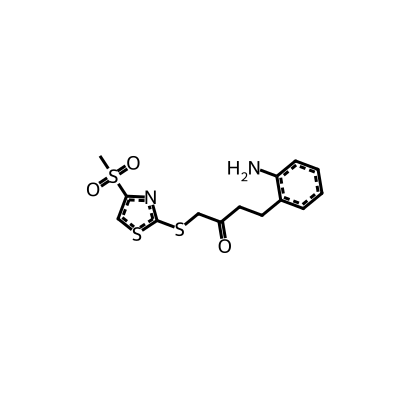 CS(=O)(=O)c1csc(SCC(=O)CCc2ccccc2N)n1